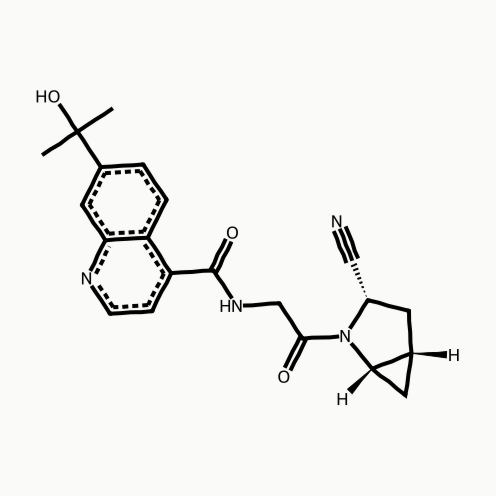 CC(C)(O)c1ccc2c(C(=O)NCC(=O)N3[C@H](C#N)C[C@@H]4C[C@@H]43)ccnc2c1